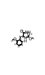 COC(=O)N[C@@H](Cc1ccccc1OC)C(N)=O